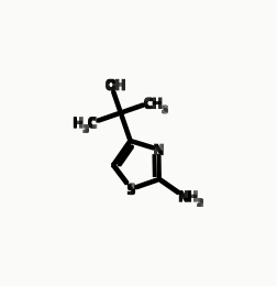 CC(C)(O)c1csc(N)n1